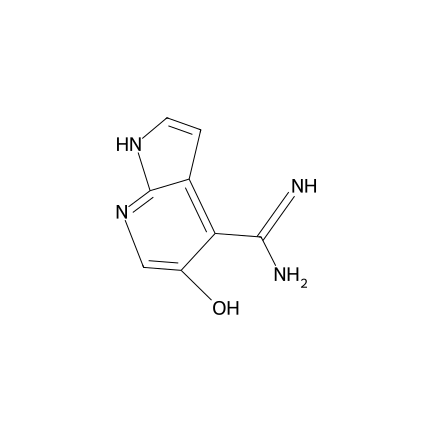 N=C(N)c1c(O)cnc2[nH]ccc12